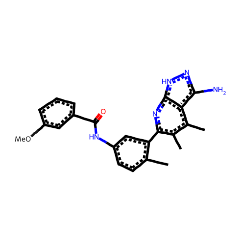 COc1cccc(C(=O)Nc2ccc(C)c(-c3nc4[nH]nc(N)c4c(C)c3C)c2)c1